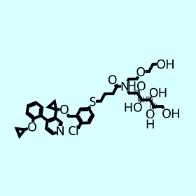 O=C(CCCSc1ccc(Cl)c(COC2(c3cnccc3-c3ccccc3OC3CC3)CC2)c1)N(CCOCCO)C[C@H](O)[C@@H](O)[C@H](O)[C@H](O)CO